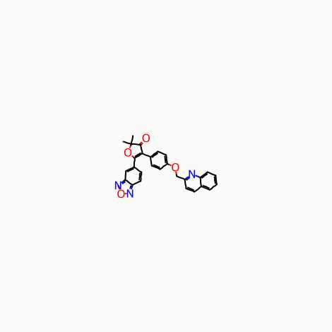 CC1(C)OC(c2ccc3nonc3c2)=C(c2ccc(OCc3ccc4ccccc4n3)cc2)C1=O